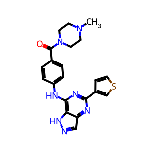 CN1CCN(C(=O)c2ccc(Nc3nc(-c4ccsc4)nc4cn[nH]c34)cc2)CC1